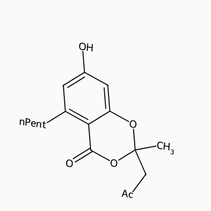 CCCCCc1cc(O)cc2c1C(=O)OC(C)(CC(C)=O)O2